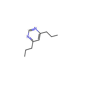 CCCc1cc(CCC)n[c]n1